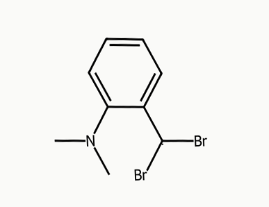 CN(C)c1ccccc1[C](Br)Br